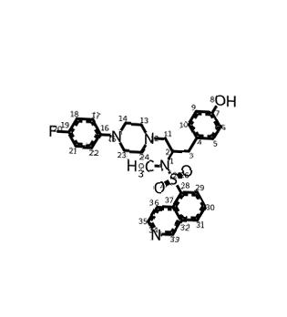 CN(C(Cc1ccc(O)cc1)CN1CCN(c2ccc(F)cc2)CC1)S(=O)(=O)c1cccc2cnccc12